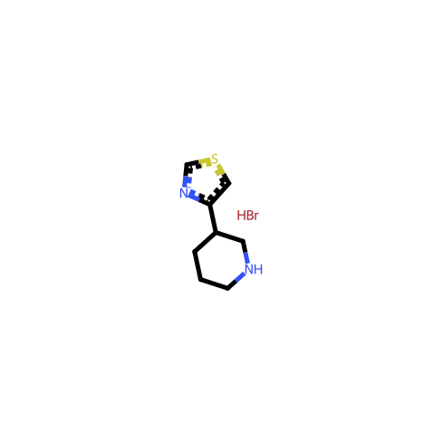 Br.c1nc(C2CCCNC2)cs1